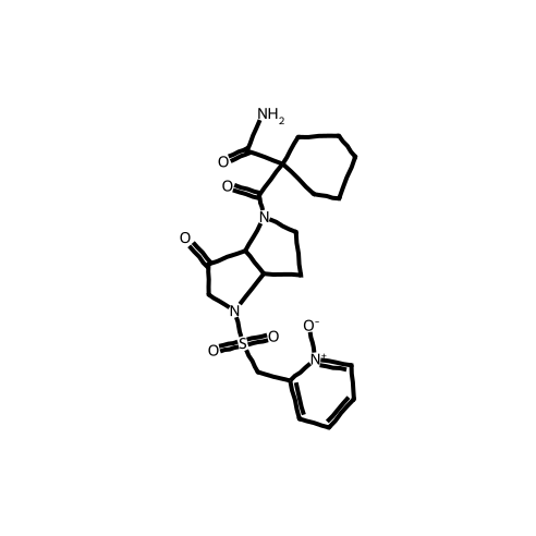 NC(=O)C1(C(=O)N2CCC3C2C(=O)CN3S(=O)(=O)Cc2cccc[n+]2[O-])CCCCC1